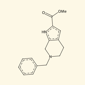 COC(=O)c1cc2c([nH]1)CN(Cc1ccccc1)CC2